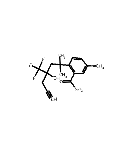 C#CCC(O)(CC(C)(C)c1ccc(C)cc1C(N)=O)C(F)(F)F